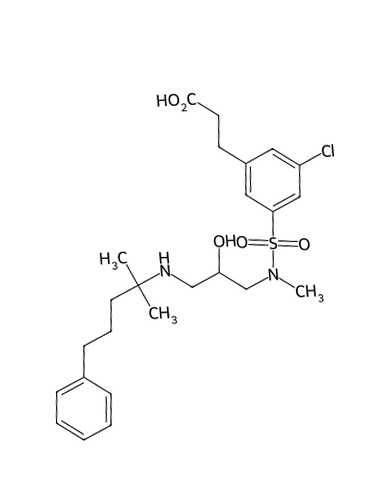 CN(CC(O)CNC(C)(C)CCCc1ccccc1)S(=O)(=O)c1cc(Cl)cc(CCC(=O)O)c1